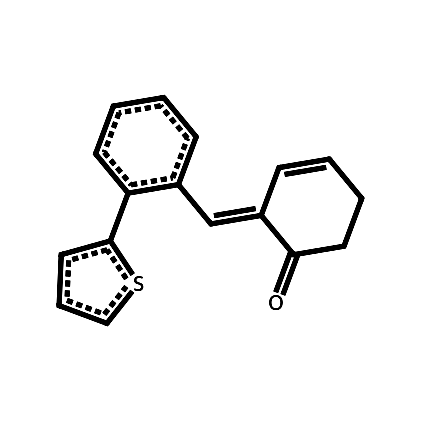 O=C1CCC=C/C1=C\c1ccccc1-c1cccs1